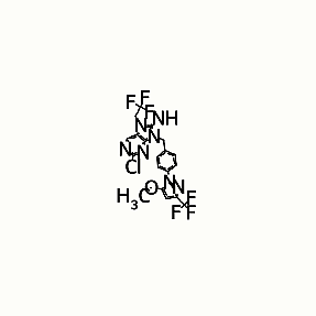 COc1cc(C(F)(F)F)nn1-c1ccc(Cn2c(=N)n(CC(F)(F)F)c3cnc(Cl)nc32)cc1